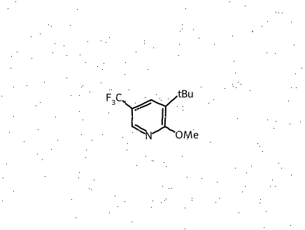 COc1ncc(C(F)(F)F)cc1C(C)(C)C